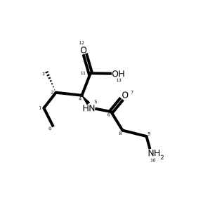 CC[C@H](C)[C@H](NC(=O)CCN)C(=O)O